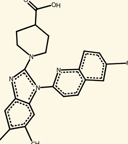 Cc1cc2c(cc1Cl)nc(N1CCC(C(=O)O)CC1)n2-c1ccc2cc(F)ccc2n1